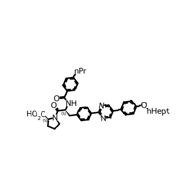 CCCCCCCOc1ccc(-c2cnc(-c3ccc(C[C@H](NC(=O)c4ccc(CCC)cc4)C(=O)N4CCC[C@H]4C(=O)O)cc3)nc2)cc1